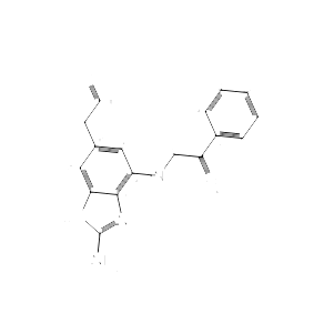 Nc1nc2c(NCC(=O)c3ccccc3)cc(CC=O)cc2s1